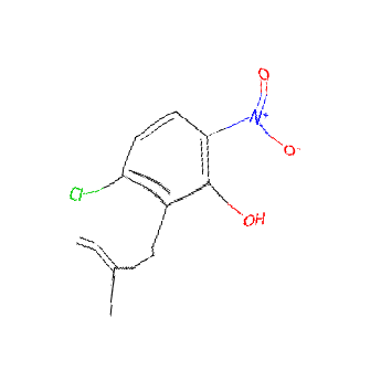 C=C(C)Cc1c(Cl)ccc([N+](=O)[O-])c1O